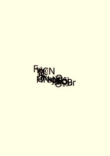 N#C[C@@H]1C[C@H](F)CN1C(=O)CNC1C2CN(S(=O)(=O)c3ccc(Br)cc3)CC21